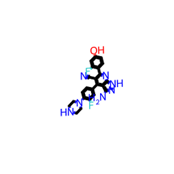 N#Cc1c(-c2ccc(O)cc2F)nc2[nH]nc(N)c2c1-c1ccc(N2CCNCC2)c(F)c1